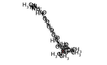 Cc1nnc(-c2ccc(CNC(=O)CCOCCOCCOCCOCCOCCC(=O)NCCNC(=O)c3ccc4c(c3)C(=O)OC43c4ccc(N(C)C)cc4Oc4cc(N(C)C)ccc43)cc2)nn1